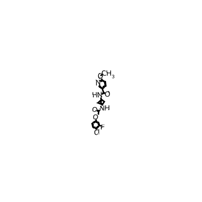 COc1ccc(C(=O)NC23CC(NC(=O)COc4ccc(Cl)c(F)c4)(C2)C3)cn1